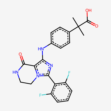 CC(C)(C(=O)O)c1ccc(Nc2nc(-c3c(F)cccc3F)n3c2C(=O)NCC3)cc1